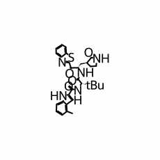 Cc1cccc2[nH]c(C(=O)N[C@H](C(=O)N[C@@H](C[C@@H]3CCNC3=O)C(=O)c3nc4ccccc4s3)C(C)(C)C)cc12